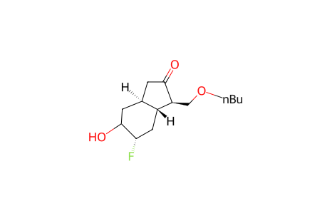 CCCCOC[C@@H]1C(=O)C[C@@H]2CC(O)[C@@H](F)C[C@H]21